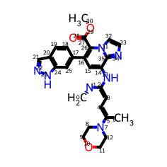 C=N/C(=C\C=C(/C)N1CCOCC1)Nc1cc(-c2ccc3cn[nH]c3c2)c(C(=O)OC)n2ccnc12